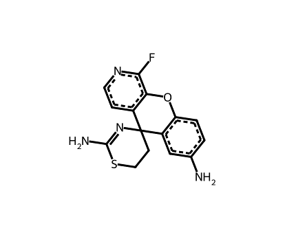 NC1=NC2(CCS1)c1cc(N)ccc1Oc1c2ccnc1F